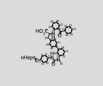 CCCCCCCOc1ccc(NC(=O)N(C)c2cccc(-c3ccc(CC(Nc4ccccc4C(=O)c4ccccc4)C(=O)O)cc3)c2)cc1